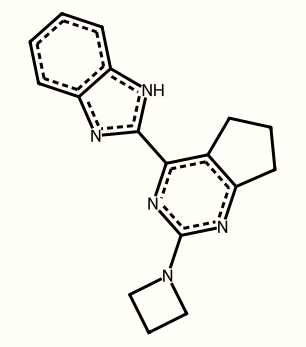 c1ccc2[nH]c(-c3nc(N4CCC4)nc4c3CCC4)nc2c1